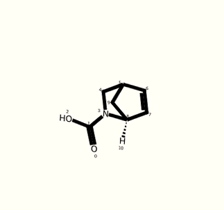 O=C(O)N1CC2C=C[C@@H]1C2